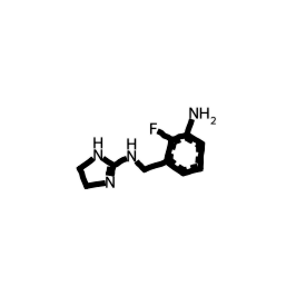 Nc1cccc(CNC2=NCCN2)c1F